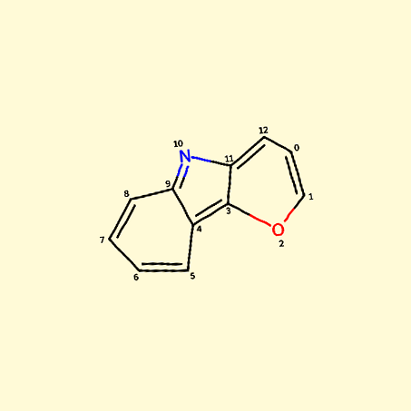 c1coc2c3ccccc3nc-2c1